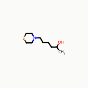 CC(O)CCCCN1CCSCC1